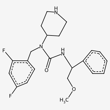 COCC(NC(=O)N(Cc1ccc(F)cc1F)C1CCNCC1)c1ccccc1